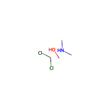 CNC.CO.ClCCl